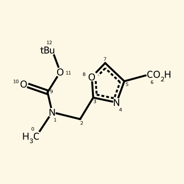 CN(Cc1nc(C(=O)O)co1)C(=O)OC(C)(C)C